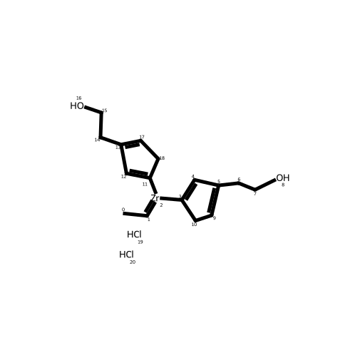 C[CH]=[Zr]([C]1=CC(CCO)=CC1)[C]1=CC(CCO)=CC1.Cl.Cl